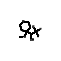 COC1(C(O)C(F)(F)F)CCOCC1